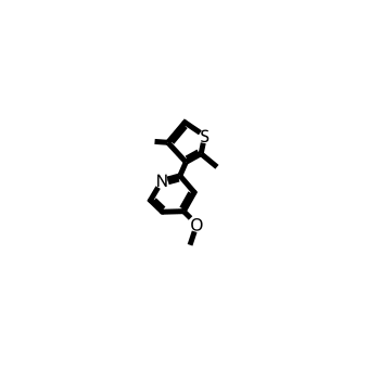 COc1ccnc(-c2c(C)csc2C)c1